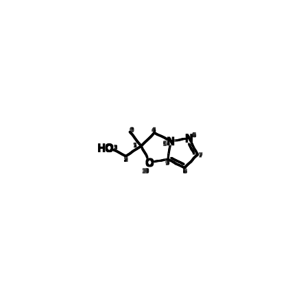 CC1(CO)Cn2nccc2O1